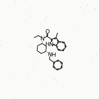 CCN(C(=O)c1[nH]c2ccccc2c1C)[C@H]1CCC[C@@H](NCc2ccccc2)C1